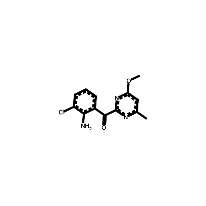 COc1cc(C)nc(C(=O)c2cccc(Cl)c2N)n1